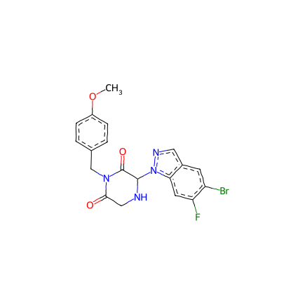 COc1ccc(CN2C(=O)CNC(n3ncc4cc(Br)c(F)cc43)C2=O)cc1